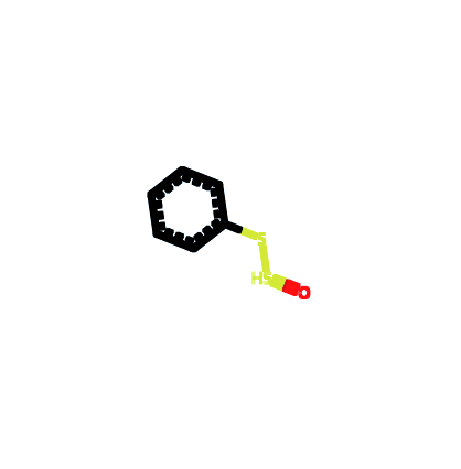 O=[SH]Sc1ccccc1